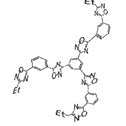 CCc1noc(-c2cccc(-c3nc(-c4cc(-c5noc(-c6cccc(-c7nc(CC)no7)c6)n5)cc(-c5noc(-c6cccc(-c7nc(CC)no7)c6)n5)c4)no3)c2)n1